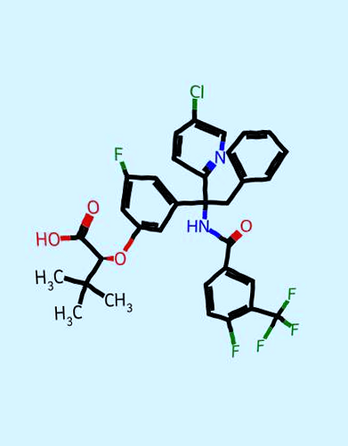 CC(C)(C)[C@H](Oc1cc(F)cc(C(Cc2ccccc2)(NC(=O)c2ccc(F)c(C(F)(F)F)c2)c2ccc(Cl)cn2)c1)C(=O)O